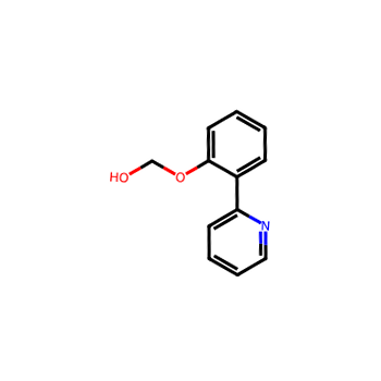 OCOc1ccccc1-c1ccccn1